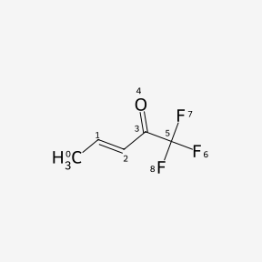 CC=CC(=O)C(F)(F)F